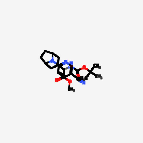 COC(=O)[C@@H](NC(=O)OC(C)(C)C)C1CC2CCC(C1)N2c1ccc(C#N)cn1